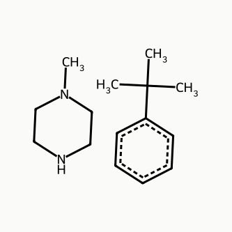 CC(C)(C)c1ccccc1.CN1CCNCC1